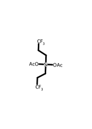 CC(=O)O[Si](CCC(F)(F)F)(CCC(F)(F)F)OC(C)=O